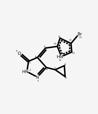 O=C1NN=C(C2CC2)C1=Cc1cc(Br)c[nH]1